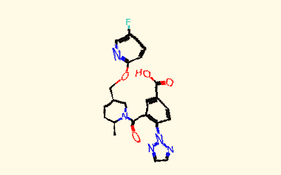 C[C@H]1CC[C@@H](COc2ccc(F)cn2)CN1C(=O)c1cc(C(=O)O)ccc1-n1nccn1